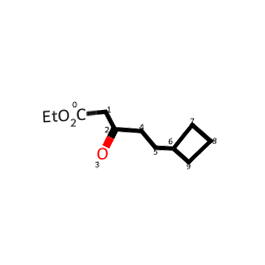 CCOC(=O)CC(=O)CCC1CCC1